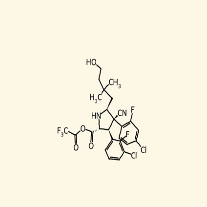 CC(C)(CCO)C[C@@H]1N[C@@H](C(=O)OC(=O)C(F)(F)F)[C@H](c2cccc(Cl)c2F)[C@@]1(C#N)c1ccc(Cl)cc1F